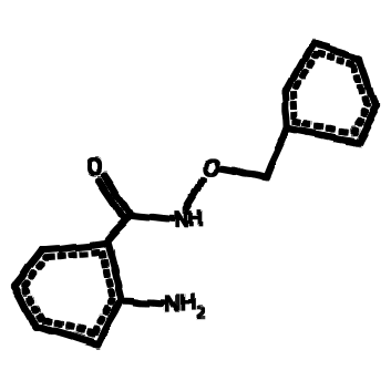 Nc1ccccc1C(=O)NOCc1ccccc1